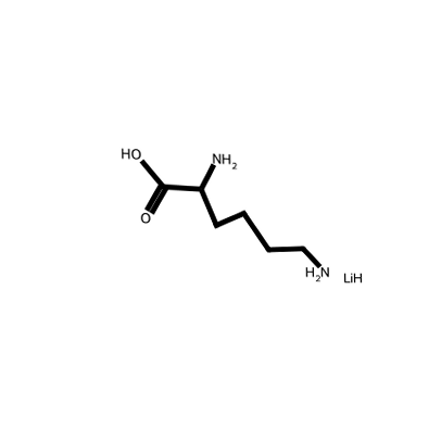 NCCCCC(N)C(=O)O.[LiH]